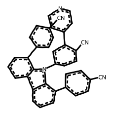 N#Cc1ccc(-c2cccc3c4cccc(-c5ccc(C#N)cc5)c4n(-c4ccc(C#N)c(-c5ccncc5)c4)c23)cc1